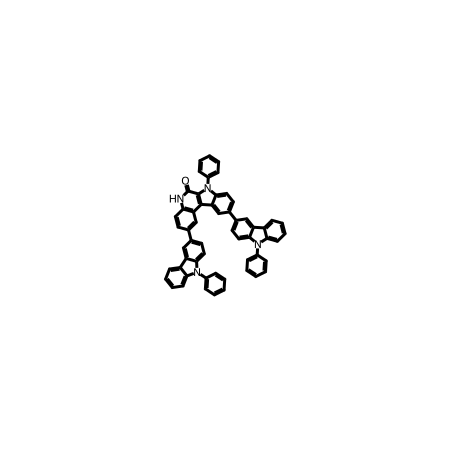 O=c1[nH]c2ccc(-c3ccc4c(c3)c3ccccc3n4-c3ccccc3)cc2c2c3cc(-c4ccc5c(c4)c4ccccc4n5-c4ccccc4)ccc3n(-c3ccccc3)c12